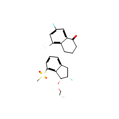 COCO[C@H]1c2c(S(C)(=O)=O)ccc([C@H]3CCC(=O)c4cc(F)cc(C#N)c43)c2C[C@H]1F